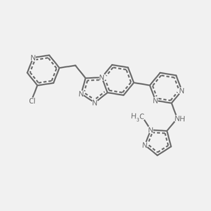 Cn1nccc1Nc1nccc(-c2ccn3c(Cc4cncc(Cl)c4)nnc3c2)n1